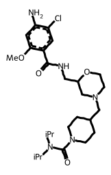 COc1cc(N)c(Cl)cc1C(=O)NCC1CN(CC2CCN(C(=O)N(C(C)C)C(C)C)CC2)CCO1